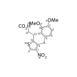 COc1ccc(Cc2c([N+](=O)[O-])csc2CCC(=O)O)cc1OC